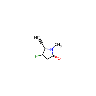 C#CC1C(F)CC(=O)N1C